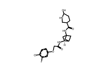 O=C(COc1ccc(Cl)c(F)c1)N[C@H]1CC2(NC(=O)C3CCC(O)NC3)CC1C2